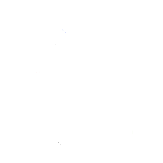 O=C(NO)c1cc(Cc2ccc(F)cc2)cc(-c2cccc([N+](=O)[O-])c2)c1O